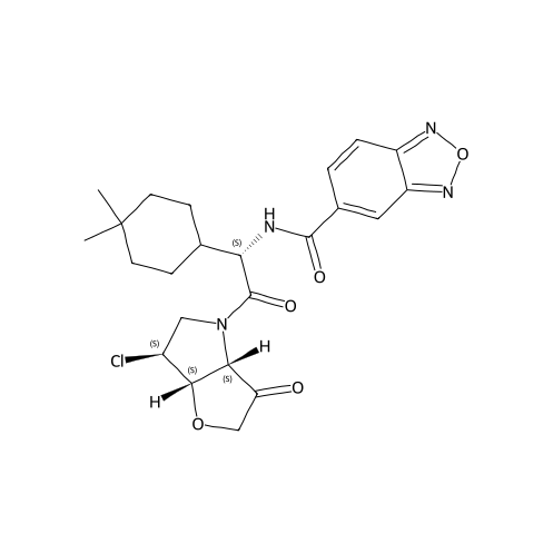 CC1(C)CCC([C@H](NC(=O)c2ccc3nonc3c2)C(=O)N2C[C@H](Cl)[C@H]3OCC(=O)[C@H]32)CC1